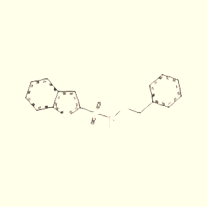 O=S(=O)(NOCc1ccccc1)c1cc2ccccc2o1